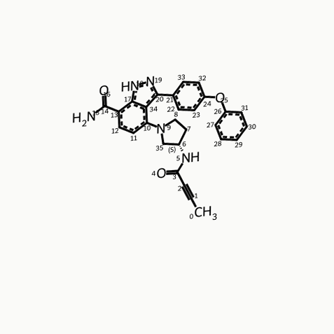 CC#CC(=O)N[C@H]1CCN(c2ccc(C(N)=O)c3[nH]nc(-c4ccc(Oc5ccccc5)cc4)c23)C1